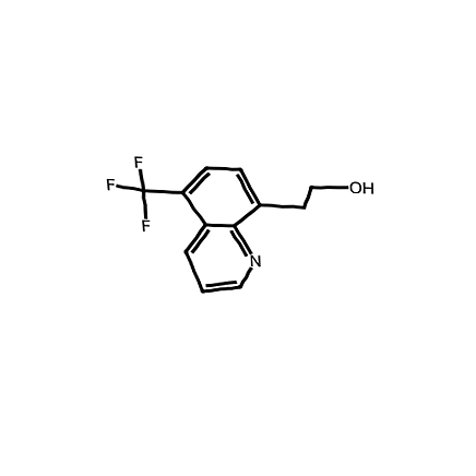 OCCc1ccc(C(F)(F)F)c2cccnc12